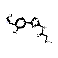 C/C=C\c1ccc(-c2csc(NC(=O)CN)n2)cc1C(C)=O